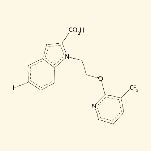 O=C(O)c1cc2cc(F)ccc2n1CCOc1ncccc1C(F)(F)F